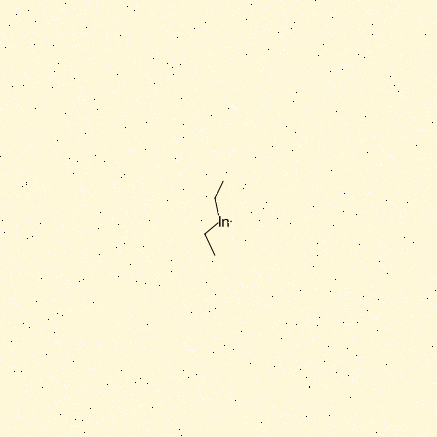 C[CH2][In][CH2]C